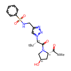 CNC(=O)[C@@H]1C[C@@H](O)CN1C(=O)[C@@H](n1cc(CNS(=O)(=O)c2ccccc2)nn1)C(C)(C)C